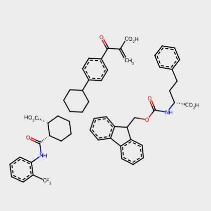 C=C(C(=O)O)C(=O)c1ccc(C2CCCCC2)cc1.O=C(N[C@H](CCc1ccccc1)C(=O)O)OCC1c2ccccc2-c2ccccc21.O=C(Nc1ccccc1C(F)(F)F)[C@H]1CCCC[C@H]1C(=O)O